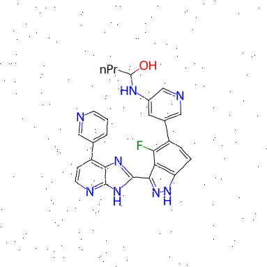 CCCC(O)Nc1cncc(-c2ccc3[nH]nc(-c4nc5c(-c6cccnc6)ccnc5[nH]4)c3c2F)c1